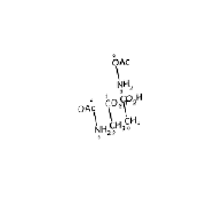 CC(=O)O.CC(=O)O.CC(=O)ON.CC(=O)ON